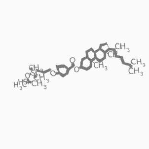 CC(C)CCC[C@@H](C)[C@H]1CCC2C3CCC4CC(OC(=O)c5ccc(OCCC[Si](C)(C)O[SiH](C)C)cc5)CC[C@]4(C)C3CC[C@@]21C